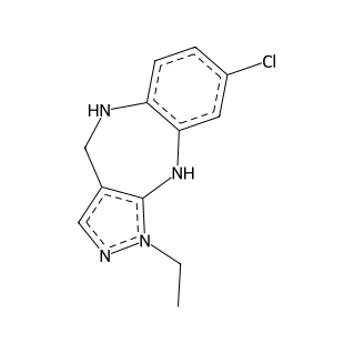 CCn1ncc2c1Nc1cc(Cl)ccc1NC2